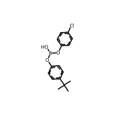 CC(C)(C)c1ccc(OB(O)Oc2ccc(Cl)cc2)cc1